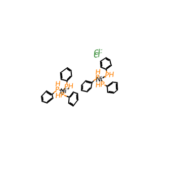 [Cl-].[Cl-].c1ccc([PH][Ni+]([PH]c2ccccc2)[PH]c2ccccc2)cc1.c1ccc([PH][Ni+]([PH]c2ccccc2)[PH]c2ccccc2)cc1